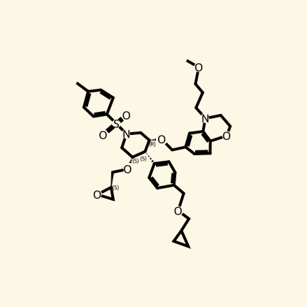 COCCCN1CCOc2ccc(CO[C@H]3CN(S(=O)(=O)c4ccc(C)cc4)C[C@@H](OC[C@H]4CO4)[C@H]3c3ccc(COCC4CC4)cc3)cc21